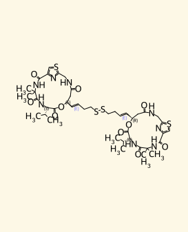 CC(C)[C@@H]1NC(=O)C(C)(C)NC(=O)c2csc(n2)CNC(=O)C[C@@H](/C=C/CCSSCC/C=C/[C@H]2CC(=O)NCc3nc(cs3)C(=O)NC(C)(C)C(=O)N[C@H](C(C)C)C(=O)O2)OC1=O